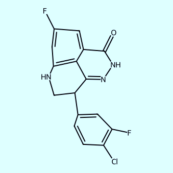 O=c1[nH]nc2c3c(cc(F)cc13)NCC2c1ccc(Cl)c(F)c1